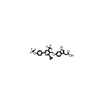 O=C(O)Cc1c[nH]c2cc(OCc3c(C(F)(F)F)cc(-c4ccc(OC(F)(F)F)cc4)nc3C3CC3)ccc12